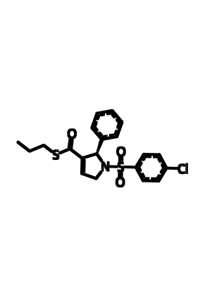 CCCSC(=O)C1=CCN(S(=O)(=O)c2ccc(Cl)cc2)[C@@H]1c1ccccc1